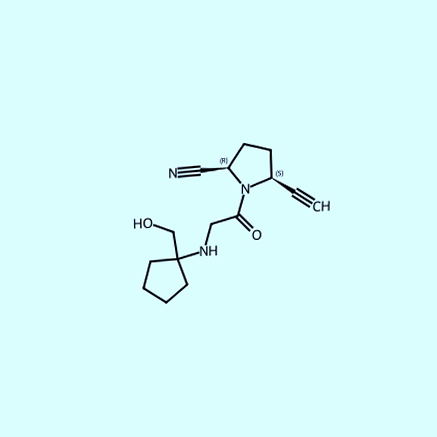 C#C[C@@H]1CC[C@H](C#N)N1C(=O)CNC1(CO)CCCC1